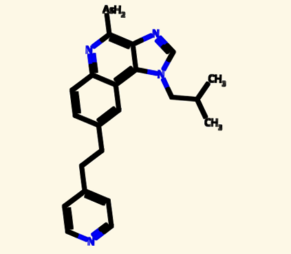 CC(C)Cn1cnc2c([AsH2])nc3ccc(CCc4ccncc4)cc3c21